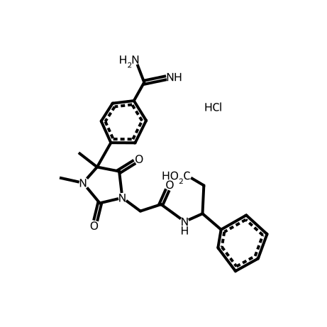 CN1C(=O)N(CC(=O)NC(CC(=O)O)c2ccccc2)C(=O)C1(C)c1ccc(C(=N)N)cc1.Cl